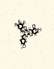 COc1ccc(Cc2nc(=O)n(Cc3ccc[nH]c3=O)c(=O)n2Cc2cc(F)c(F)c(F)c2)cc1